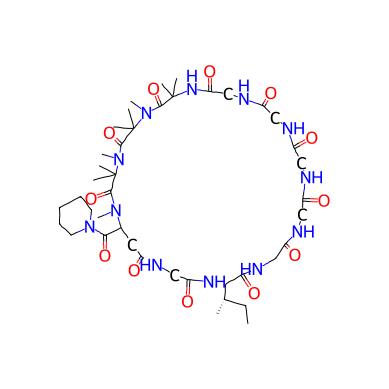 CC[C@H](C)C1NC(=O)CNC(=O)CC(C(=O)N2CCCCC2)N(C)C(=O)C(C)(C)N(C)C(=O)C(C)(C)N(C)C(=O)C(C)(C)NC(=O)CNC(=O)CNC(=O)CNC(=O)CNC(=O)CNC1=O